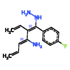 C=C/C=C(N)/C(C=C)=C(/NN)c1ccc(F)cc1